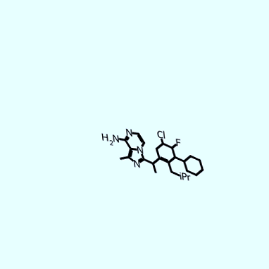 Cc1nc(C(C)C2=C(CC(C)C)C(C3CCCCC3)C(F)C(Cl)C2)n2ccnc(N)c12